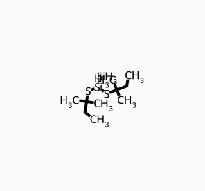 CCC(C)(C)S[SiH]([SiH3])SC(C)(C)CC